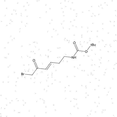 CC(C)(C)OC(=O)NCCC=CC(=O)CBr